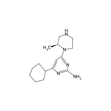 C[C@H]1CNCCN1c1cc(C2CCCCC2)nc(N)n1